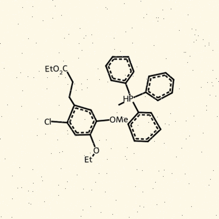 CCOC(=O)CCc1cc(OC)c(OCC)cc1Cl.C[PH](c1ccccc1)(c1ccccc1)c1ccccc1